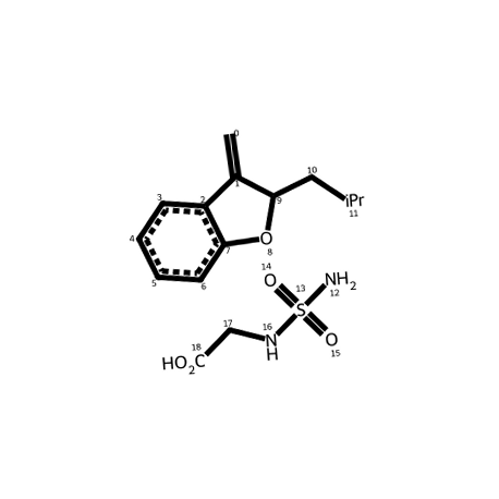 C=C1c2ccccc2OC1CC(C)C.NS(=O)(=O)NCC(=O)O